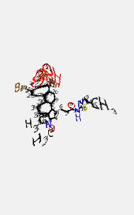 CO/N=C1\C[C@@H](CCC(=O)Nc2ncc(C)s2)C2C3CCc4c(cc(Br)c(OP(=O)(O)O)c4Br)C3CC[C@]12C